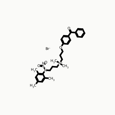 Cc1cc(C)c(N(CCC[N+](C)(C)CCCOc2ccc(C(=O)c3ccccc3)cc2)[SH](=O)=O)c(C)c1.[Br-]